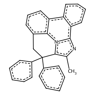 Cc1nc2c3ccccc3c3cccc4c3n2c1C(c1ccccc1)(c1ccccc1)C4